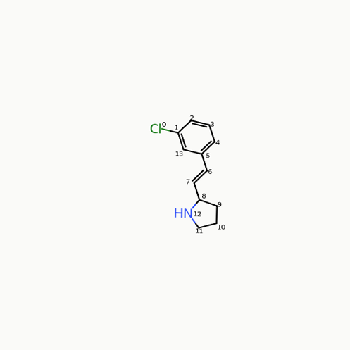 Clc1cccc(C=CC2CCCN2)c1